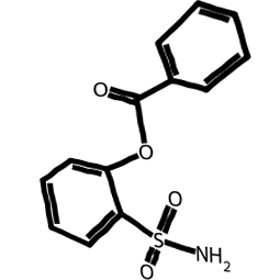 NS(=O)(=O)c1ccccc1OC(=O)c1ccccc1